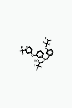 OC(CN(Cc1cccc(OC(F)(F)C(F)F)c1)c1cccc(Oc2ccnc(C(F)(F)F)c2)c1)C(F)(F)F